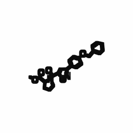 COC(=O)C1CCCN1C(=O)c1cc(-c2ccc(OCc3ccccc3)cc2)no1